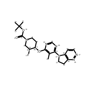 Cc1c(O[C@@H]2CCN(C(=O)OC(C)(C)C)C[C@@H]2F)ncnc1N1CCc2nnccc21